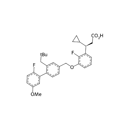 COc1ccc(F)c(-c2ccc(COc3cccc([C@H](CC(=O)O)C4CC4)c3F)cc2CC(C)(C)C)c1